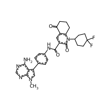 Cn1cc(-c2ccc(NC(=O)c3cc4c(n(C5CCC(F)(F)CC5)c3=O)CCCC4=O)cc2)c2c(N)ncnc21